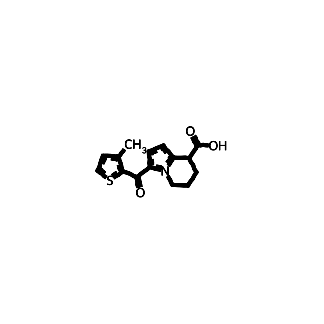 Cc1ccsc1C(=O)c1ccc2n1CCCC2C(=O)O